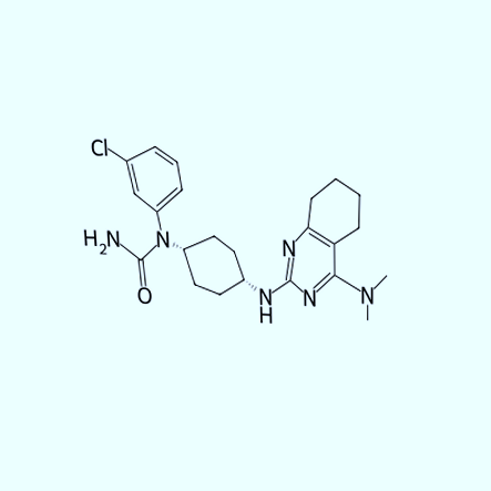 CN(C)c1nc(N[C@H]2CC[C@@H](N(C(N)=O)c3cccc(Cl)c3)CC2)nc2c1CCCC2